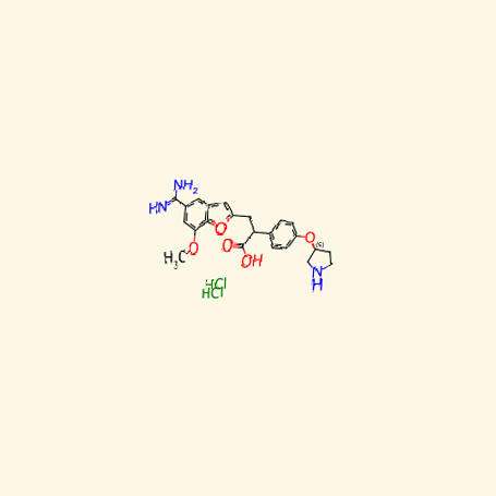 COc1cc(C(=N)N)cc2cc(CC(C(=O)O)c3ccc(O[C@H]4CCNC4)cc3)oc12.Cl.Cl